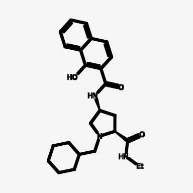 CCNC(=O)[C@@H]1C[C@H](NC(=O)c2ccc3ccccc3c2O)CN1CC1CCCCC1